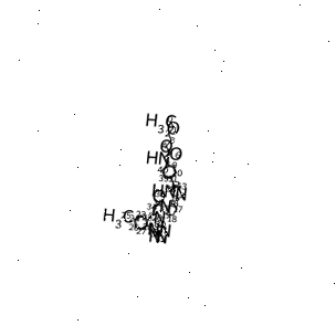 COCCOC(=O)Nc1ccc(-c2cnc([C@@H]3CCc4nc(-c5cc(C)ccc5-n5cnnn5)cc(=O)n43)[nH]2)cc1